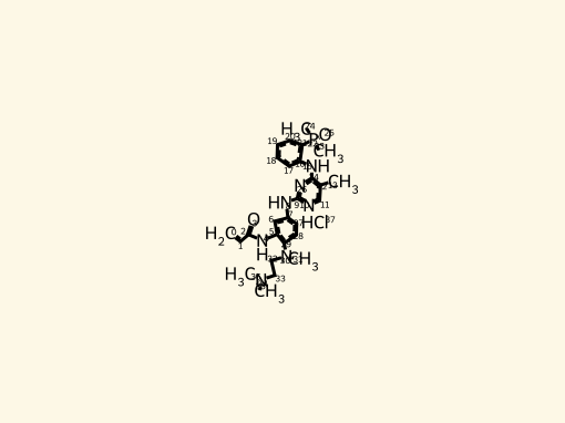 C=CC(=O)Nc1cc(Nc2ncc(C)c(Nc3ccccc3P(C)(C)=O)n2)ccc1N(C)CCN(C)C.Cl